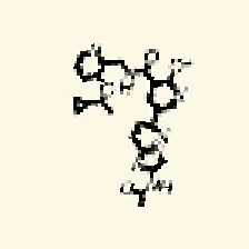 COc1ncc(-c2ccc3nc(NC(C)=O)cn3n2)cc1C(=O)NCc1ncccc1OC(C)C1CC1